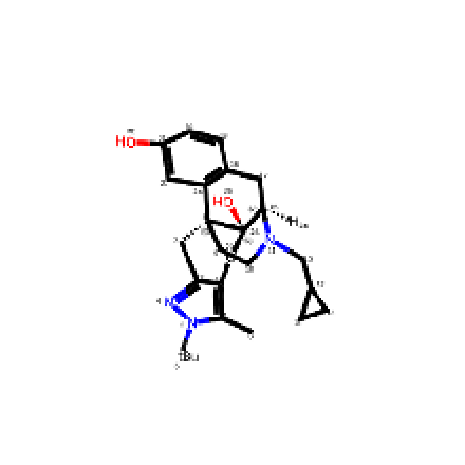 Cc1c2c(nn1C(C)(C)C)C[C@]13CCN(CC4CC4)[C@H](Cc4ccc(O)cc41)[C@]3(O)C2